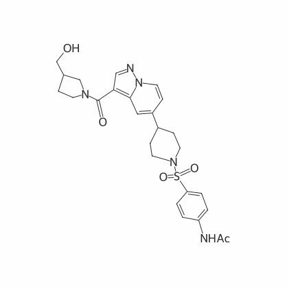 CC(=O)Nc1ccc(S(=O)(=O)N2CCC(c3ccn4ncc(C(=O)N5CCC(CO)C5)c4c3)CC2)cc1